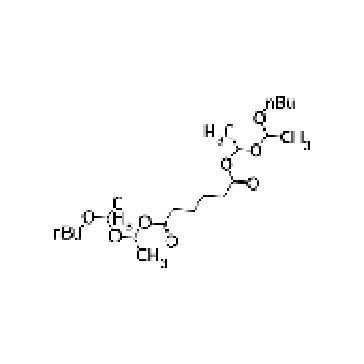 CCCCOC(C)OC(C)OC(=O)CCCCC(=O)OC(C)OC(C)OCCCC